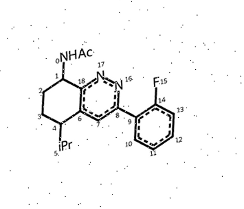 CC(=O)NC1CCC(C(C)C)c2cc(-c3ccccc3F)nnc21